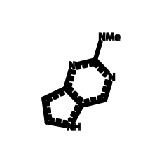 CNc1ncc2[nH]ccc2n1